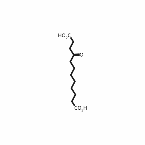 O=C(O)CCCCCCCC(=O)CCC(=O)O